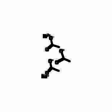 CC(=O)[O-].CC(=O)[O-].CC(=O)[O-].[Na+].[Ni+2]